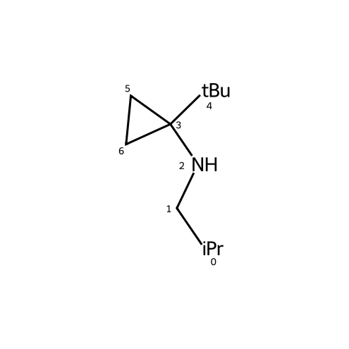 CC(C)CNC1(C(C)(C)C)CC1